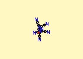 N#Cc1ccc(-c2ccc3c(c2)c2cc(-c4ccc(C#N)cc4)ccc2n3-c2ccc(-c3cccc(C#N)c3)c(-n3c4ccc(-c5ccc(C#N)cc5)cc4c4cc(-c5ccc(C#N)cc5)ccc43)c2C#N)cc1